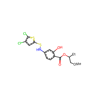 CCC(COC)OC(=O)c1ccc(NSc2cc(Cl)c(Cl)s2)cc1O